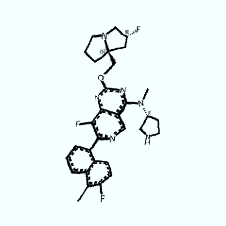 Cc1c(F)ccc2c(-c3ncc4c(N(C)[C@@H]5CCNC5)nc(OC[C@@]56CCCN5C[C@H](F)C6)nc4c3F)cccc12